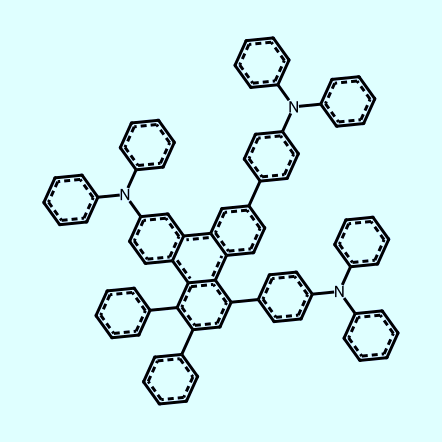 c1ccc(-c2cc(-c3ccc(N(c4ccccc4)c4ccccc4)cc3)c3c4ccc(-c5ccc(N(c6ccccc6)c6ccccc6)cc5)cc4c4cc(N(c5ccccc5)c5ccccc5)ccc4c3c2-c2ccccc2)cc1